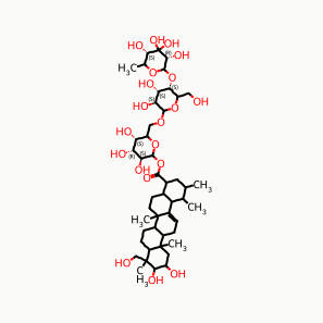 CC1CC(C(=O)OC2OC(COC3OC(CO)[C@@H](OC4OC(C)[C@H](O)C(O)(O)[C@@H]4O)[C@@H](O)[C@@H]3O)[C@@H](O)[C@@H](O)[C@@H]2O)C2CCC3(C)C(=CCC4C3CCC3C(C)(CO)C(O)C(O)CC43C)C2C1C